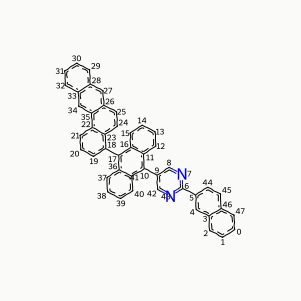 c1ccc2cc(-c3ncc(-c4c5ccccc5c(-c5cccc6c5ccc5cc7ccccc7cc56)c5ccccc45)cn3)ccc2c1